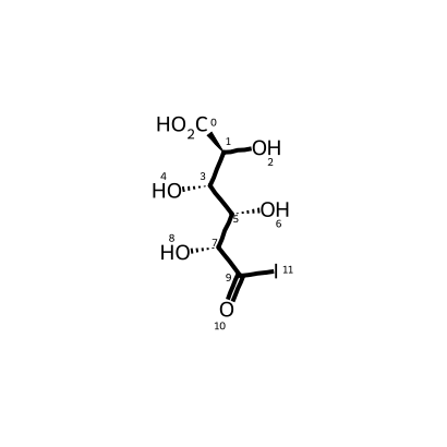 O=C(O)[C@@H](O)[C@@H](O)[C@H](O)[C@@H](O)C(=O)I